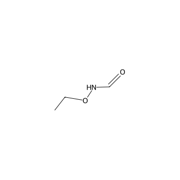 CCONC=O